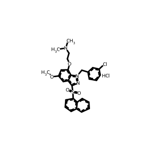 COc1cc(OCCN(C)C)c2c(c1)c(S(=O)(=O)c1cccc3ccccc13)nn2Cc1cccc(Cl)c1.Cl